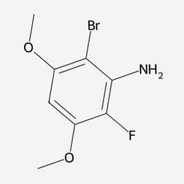 COc1cc(OC)c(Br)c(N)c1F